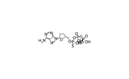 Nc1ncnc2c1ncn2[C@H]1CC[C@@H](COP(O)(=S)OP(=O)(O)OP(=O)(O)O)O1